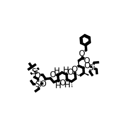 CC[Si](CC)(CC)OC(CO[Si](C)(C)C(C)(C)C)C1C[C@H]2O[C@@H]3[C@H](C[C@H]2O1)O[C@]1(C[C@H](C)C(O[Si](CC)(CC)CC)[C@H](CC(=O)OCc2ccccc2)O1)C[C@@H]3C